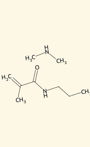 C=C(C)C(=O)NCCC.CNC